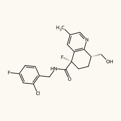 Cc1cnc2c(c1)[C@](F)(C(=O)NCc1ccc(F)cc1Cl)CC[C@H]2CO